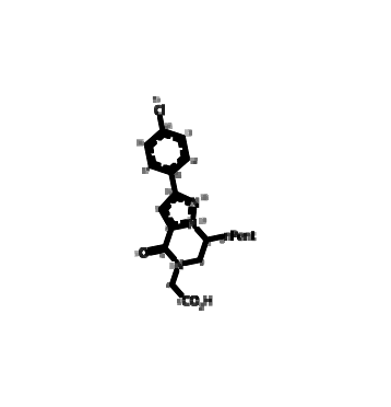 CCCCCC1CN(CC(=O)O)C(=O)c2cc(-c3ccc(Cl)cc3)nn21